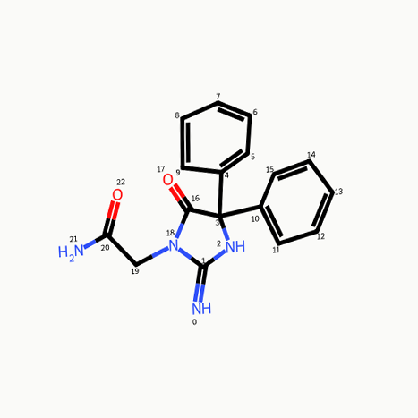 N=C1NC(c2ccccc2)(c2ccccc2)C(=O)N1CC(N)=O